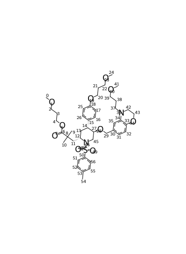 COCCCOC(=O)C(C)(C)C[C@@H]1C[C@H](c2ccc(OCCCOC)cc2)[C@@H](OCc2ccc3c(c2)N(CCCOC)CCO3)CN1S(=O)(=O)c1ccc(C)cc1